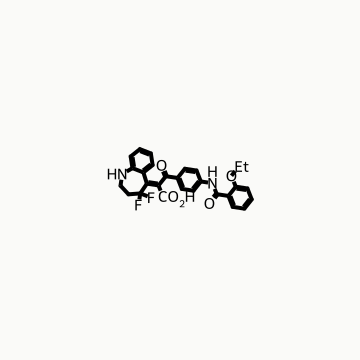 CCOc1ccccc1C(=O)Nc1ccc(C(=O)C(C(=O)O)=C2c3ccccc3NCCC2(F)F)cc1